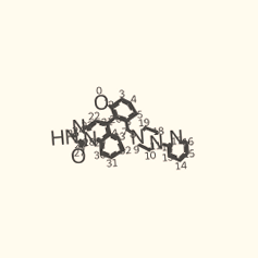 COc1cccc(CN2CCN(c3ccccn3)CC2)c1-c1cc2n[nH]c(=O)n2c2ccccc12